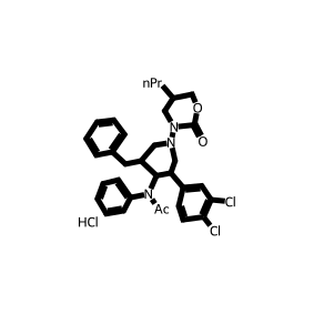 CCCC1COC(=O)N(N2CC(Cc3ccccc3)C(N(C(C)=O)c3ccccc3)C(c3ccc(Cl)c(Cl)c3)C2)C1.Cl